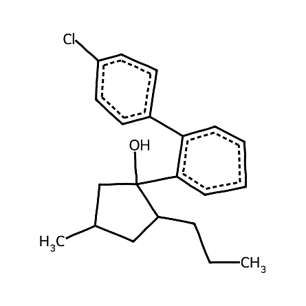 CCCC1CC(C)CC1(O)c1ccccc1-c1ccc(Cl)cc1